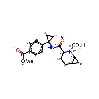 COC(=O)c1ccc(C2(NC(=O)C3CCC4CC4N3C(=O)O)CC2)cc1